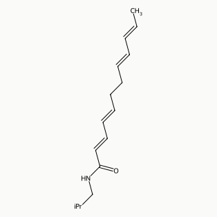 C/C=C/C=C/CC/C=C/C=C/C(=O)NCC(C)C